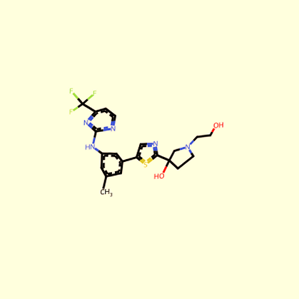 Cc1cc(Nc2nccc(C(F)(F)F)n2)cc(-c2cnc(C3(O)CCN(CCO)C3)s2)c1